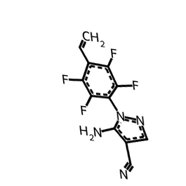 C=Cc1c(F)c(F)c(-n2ncc(C#N)c2N)c(F)c1F